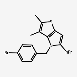 CCCc1cc2sc(C)c(C)c2n1Cc1ccc(Br)cc1